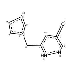 O=c1cn[nH]c(Cn2ccnc2)c1